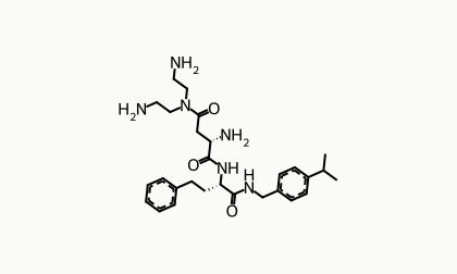 CC(C)c1ccc(CNC(=O)[C@H](CCc2ccccc2)NC(=O)[C@@H](N)CC(=O)N(CCN)CCN)cc1